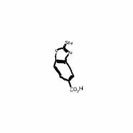 O=C(O)c1ccc2sc(S)nc2c1